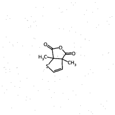 CC12C=CSC1(C)C(=O)OC2=O